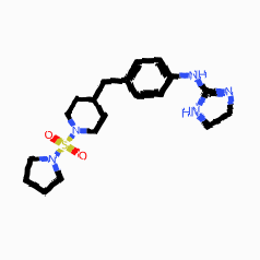 O=S(=O)(N1CCCC1)N1CCC(Cc2ccc(NC3=NCCN3)cc2)CC1